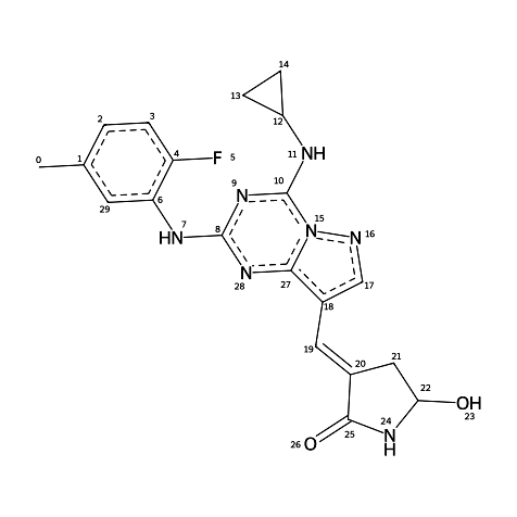 Cc1ccc(F)c(Nc2nc(NC3CC3)n3ncc(/C=C4\CC(O)NC4=O)c3n2)c1